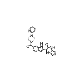 O=C(c1ccc2cc(-c3nc4cscc4[nH]c3=O)[nH]c2c1)N1CCN(c2ccccn2)CC1